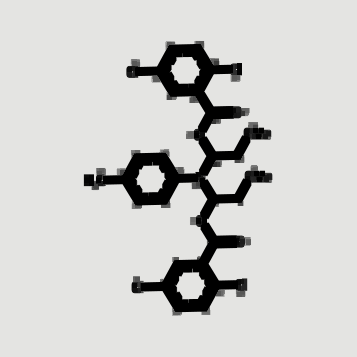 COCC(OC(=O)c1cc(Cl)ccc1Cl)N(c1ccc(C)cc1)C(COC)OC(=O)c1cc(Cl)ccc1Cl